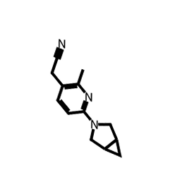 Cc1nc(N2CC3CC3C2)ccc1CC#N